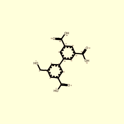 O=C(O)c1cc(CO)cc(-c2cc(C(=O)O)cc(C(=O)O)c2)c1